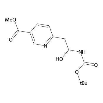 COC(=O)c1ccc(CC(O)NC(=O)OC(C)(C)C)nc1